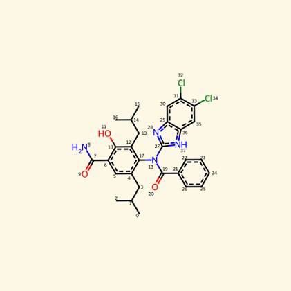 CC(C)Cc1cc(C(N)=O)c(O)c(CC(C)C)c1N(C(=O)c1ccccc1)c1nc2cc(Cl)c(Cl)cc2[nH]1